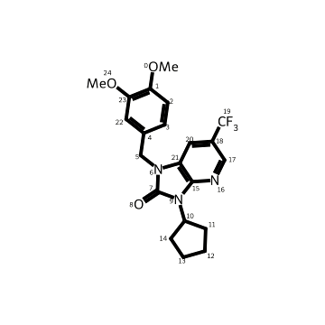 COc1ccc(Cn2c(=O)n(C3CCCC3)c3ncc(C(F)(F)F)cc32)cc1OC